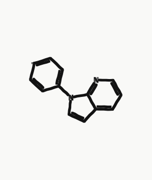 [c]1ccc(-n2ccc3cccnc32)cc1